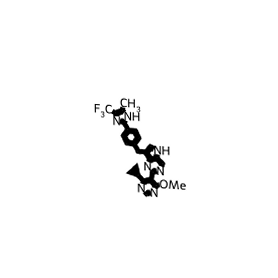 COc1ncnc(C2CC2)c1-c1ncc2[nH]cc(Cc3ccc(-c4nc(C(F)(F)F)c(C)[nH]4)cc3)c2n1